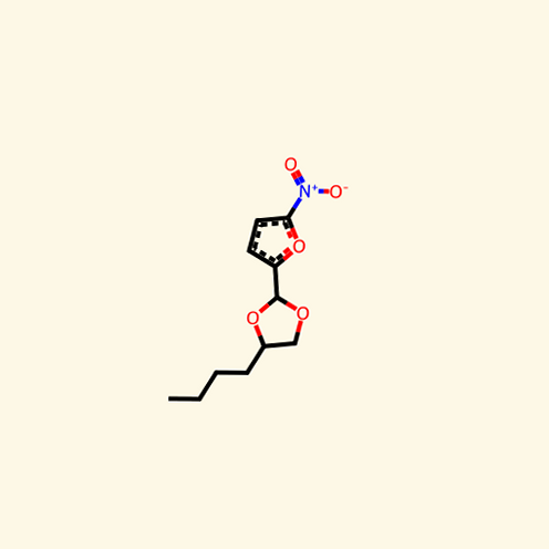 CCCCC1COC(c2ccc([N+](=O)[O-])o2)O1